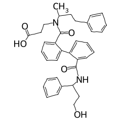 CC(CCc1ccccc1)N(CCC(=O)O)C(=O)c1ccccc1-c1ccccc1C(=O)NC(CCO)c1ccccc1